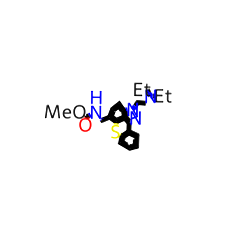 CCN(CC)CCn1nc2c3c(c(CNC(=O)OC)ccc31)Sc1ccccc1-2